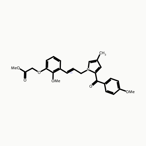 COC(=O)COc1cccc(/C=C/Cn2cc(C)cc2C(=O)c2ccc(OC)cc2)c1OC